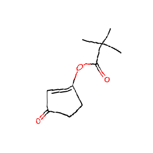 CC(C)(C)C(=O)OC1=CC(=O)CC1